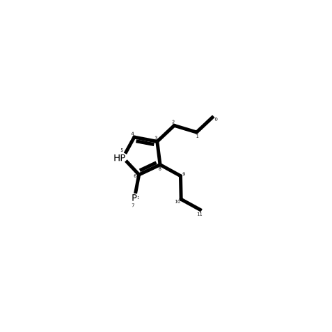 CCCc1c[pH]c([P])c1CCC